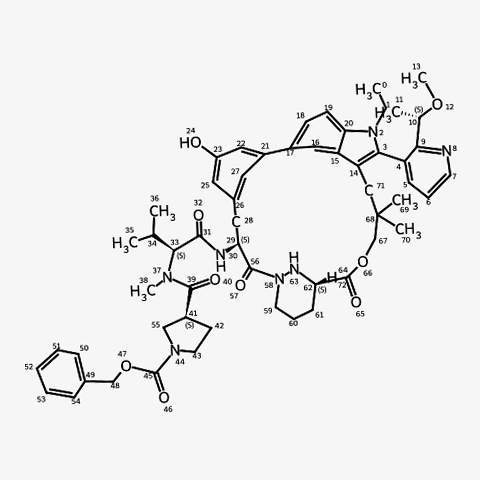 CCn1c(-c2cccnc2[C@H](C)OC)c2c3cc(ccc31)-c1cc(O)cc(c1)C[C@H](NC(=O)[C@H](C(C)C)N(C)C(=O)[C@H]1CCN(C(=O)OCc3ccccc3)C1)C(=O)N1CCC[C@H](N1)C(=O)OCC(C)(C)C2